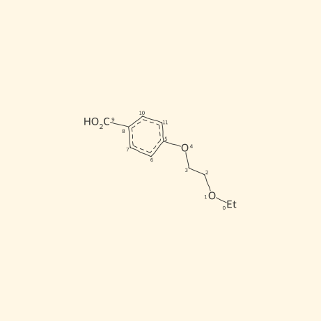 CCOCCOc1ccc(C(=O)O)cc1